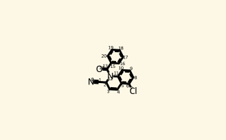 N#CC1C=Cc2c(Cl)cccc2N1C(=O)c1ccccc1